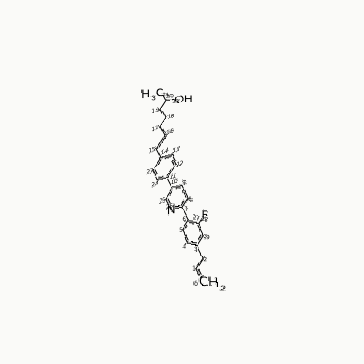 C=CCc1ccc(-c2ccc(-c3ccc(C=CCCCC(C)O)cc3)cn2)c(F)c1